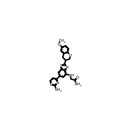 COc1ccc2c(c1)CC(c1nc3c(NCC(N)=O)cc(-c4ccnc(N)n4)cc3s1)CO2